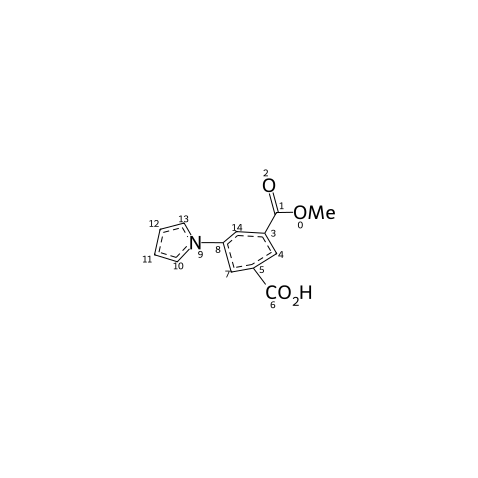 COC(=O)c1cc(C(=O)O)cc(-n2cccc2)c1